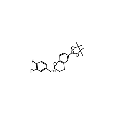 CC1(C)OB(c2ccc3c(c2)CC[C@H](Cc2ccc(F)c(F)c2)O3)OC1(C)C